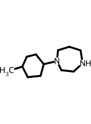 CC1CCC(N2CCCNCC2)CC1